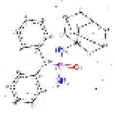 NP(=O)(NC12CC3CC(CC(C3)C1)C2)N(c1ccccc1)c1ccccc1